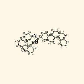 c1ccc2c(c1)ccc1ccc3c4ccc(-c5nc(-c6cccc7oc8ccccc8c67)c6ccccc6n5)cc4ccc3c12